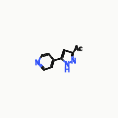 CC(=O)c1cc(-c2ccncc2)[nH]n1